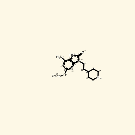 CCC[C@@H](C)Oc1nc(N)c2[nH]c(=O)n(CCC3CCOCC3)c2n1